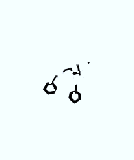 CO[C@H]1OC(COCc2ccccc2)[C@@H](OCc2ccccc2)[C@@]1(C)O